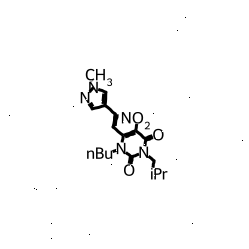 CCCCn1c(C=Cc2cnn(C)c2)c([N+](=O)[O-])c(=O)n(CC(C)C)c1=O